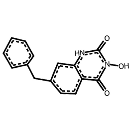 O=c1[nH]c2cc(Cc3ccccc3)ccc2c(=O)n1O